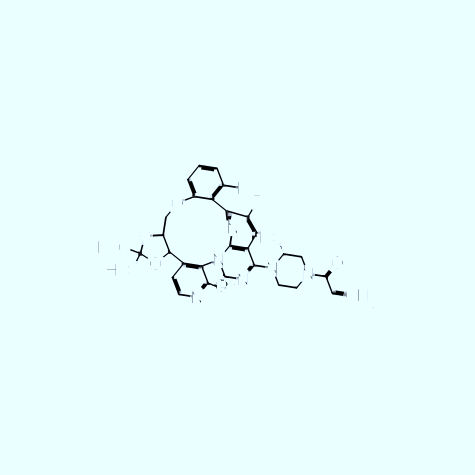 C=CC(=O)N1CCN(c2nc(=O)n3c4nc(c(F)cc24)-c2c(F)cccc2OCC2OC(C)(C)OC2c2ccnc(C(C)C)c2-3)[C@@H](C)C1